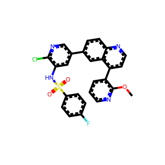 COc1ncccc1-c1ccnc2ccc(-c3cnc(Cl)c(NS(=O)(=O)c4ccc(F)cc4)c3)cc12